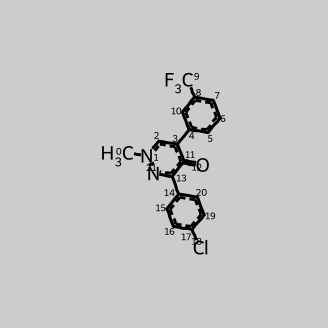 Cn1cc(-c2cccc(C(F)(F)F)c2)c(=O)c(-c2ccc(Cl)cc2)n1